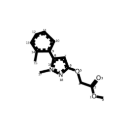 COC(=O)COc1cc(-c2ccccc2C)n(C)n1